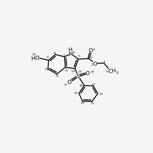 CCOC(=O)c1[nH]c2cc(O)ccc2c1S(=O)(=O)c1ccccc1